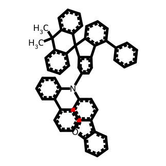 CC1(C)c2ccccc2C2(c3cc(N(c4ccc5c(c4)oc4ccccc45)c4ccccc4-c4ccccc4)ccc3-c3c(-c4ccccc4)cccc32)c2ccccc21